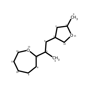 CC1CC(CC(C)C2CCCCCO2)CO1